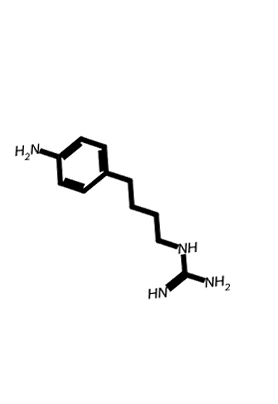 N=C(N)NCCCCc1ccc(N)cc1